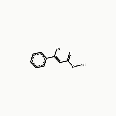 CC(C)(C)OC(=O)/C=C(\C#N)c1ccccc1